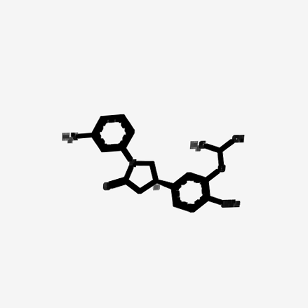 COc1ccc([C@H]2CC(=O)N(c3cccc(N)c3)C2)cc1OC(C)C#N